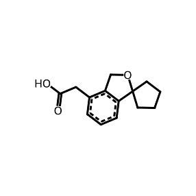 O=C(O)Cc1cccc2c1COC21CCCC1